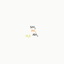 P.S.[AlH3].[SrH2]